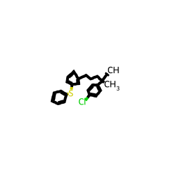 C#CC(C)(CCCc1cccc(Sc2ccccc2)c1)c1ccc(Cl)cc1